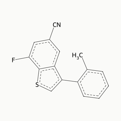 Cc1ccccc1-c1csc2c(F)cc(C#N)cc12